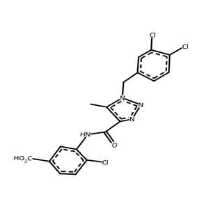 Cc1c(C(=O)Nc2cc(C(=O)O)ccc2Cl)nnn1Cc1ccc(Cl)c(Cl)c1